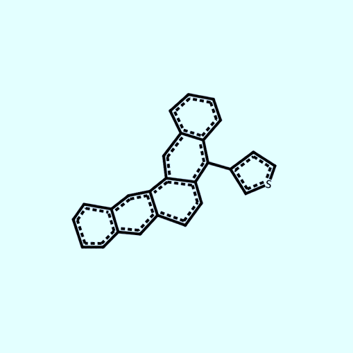 c1ccc2cc3c(ccc4c(-c5ccsc5)c5ccccc5cc43)cc2c1